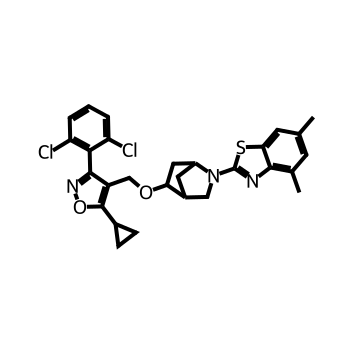 Cc1cc(C)c2nc(N3CC4CC3CC4OCc3c(-c4c(Cl)cccc4Cl)noc3C3CC3)sc2c1